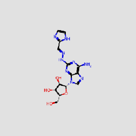 Nc1nc(N/N=C/c2ncc[nH]2)nc2c1ncn2[C@@H]1O[C@H](CO)[C@@H](O)[C@H]1O